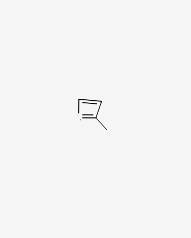 [2H]C1=NC=C1